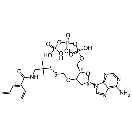 C=C/C=C(\C=C)C(=O)NCC(C)(C)SSCOC1C[C@H](n2cnc3c(N)ncnc32)O[C@@H]1COP(=O)(O)OP(=O)(O)OP(=O)(O)O